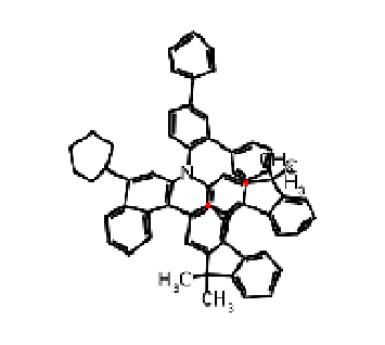 CC1(C)c2ccccc2-c2ccc(-c3c(N(c4ccc5c(c4)C(C)(C)c4ccccc4-5)c4ccc(-c5ccccc5)cc4-c4ccccc4)cc(C4CCCCC4)c4ccccc34)cc21